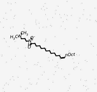 CCCCCCCC/C=C\CCCCCCCCCCCC(=O)[NH+]([O-])CCCN(C)C